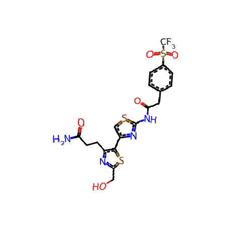 NC(=O)CCc1nc(CO)sc1-c1csc(NC(=O)Cc2ccc(S(=O)(=O)C(F)(F)F)cc2)n1